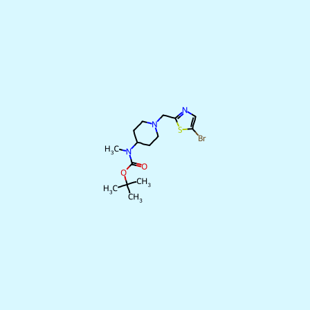 CN(C(=O)OC(C)(C)C)C1CCN(Cc2ncc(Br)s2)CC1